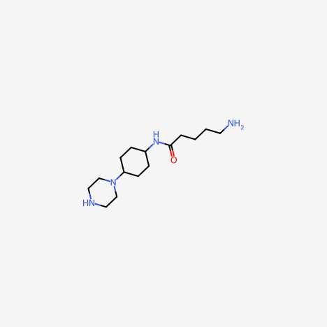 NCCCCC(=O)NC1CCC(N2CCNCC2)CC1